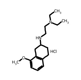 CCN(CC)CCNC1CCc2cccc(OC)c2C1.Cl